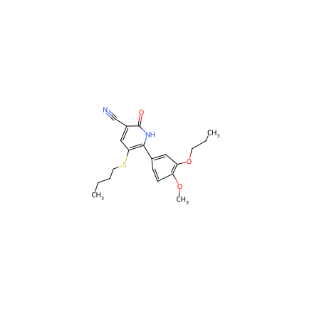 CCCCSc1cc(C#N)c(=O)[nH]c1-c1ccc(OC)c(OCCC)c1